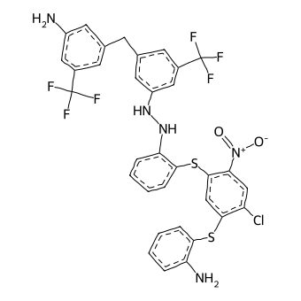 Nc1cc(Cc2cc(NNc3ccccc3Sc3cc(Sc4ccccc4N)c(Cl)cc3[N+](=O)[O-])cc(C(F)(F)F)c2)cc(C(F)(F)F)c1